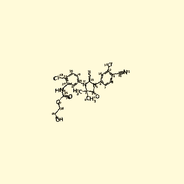 CC1(C)C(=O)N(c2ccc(C#N)c(Cl)c2)C(=S)N1c1ccc(Cl)c(NC(=O)OCCO)c1